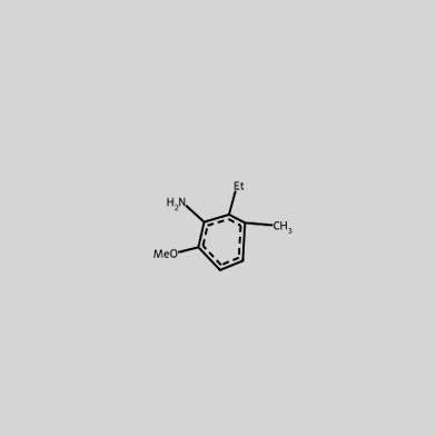 CCc1c(C)ccc(OC)c1N